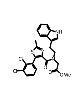 COC(=O)CN(CCc1c[nH]c2ccccc12)C(=O)c1nc(C)sc1-c1cccc(Cl)c1Cl